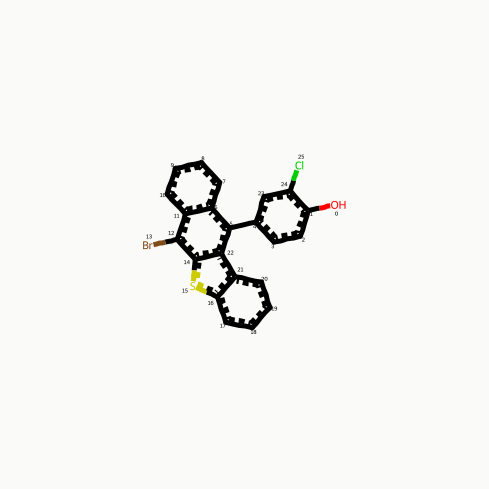 Oc1ccc(-c2c3ccccc3c(Br)c3sc4ccccc4c23)cc1Cl